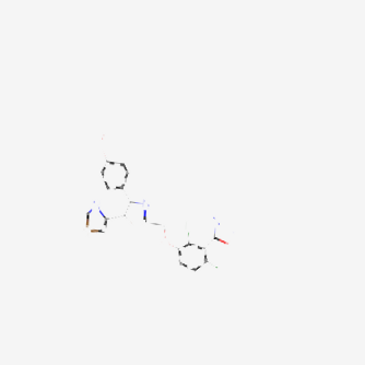 COc1ccc(C2N=C(COc3ccc(F)c(C(N)=O)c3F)SC2c2cscn2)cc1